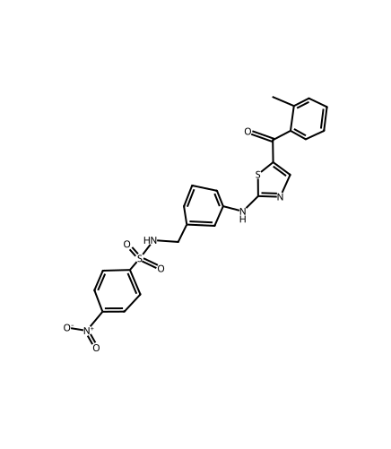 Cc1ccccc1C(=O)c1cnc(Nc2cccc(CNS(=O)(=O)c3ccc([N+](=O)[O-])cc3)c2)s1